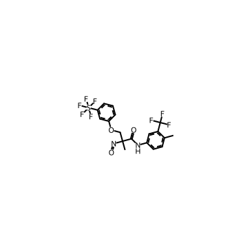 Cc1ccc(NC(=O)C(C)(COc2cccc(S(F)(F)(F)(F)F)c2)N=O)cc1C(F)(F)F